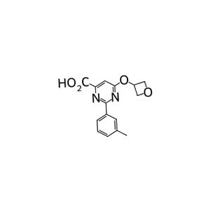 Cc1cccc(-c2nc(OC3COC3)cc(C(=O)O)n2)c1